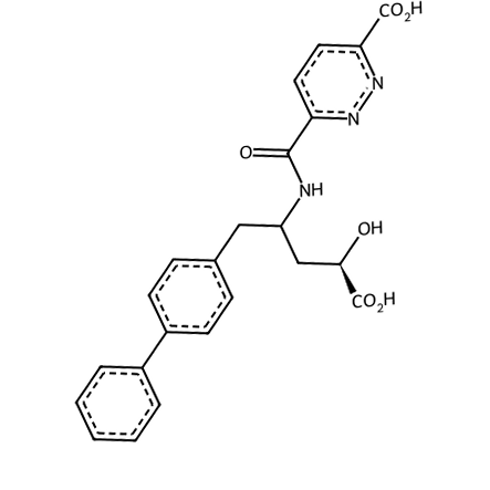 O=C(O)c1ccc(C(=O)NC(Cc2ccc(-c3ccccc3)cc2)C[C@@H](O)C(=O)O)nn1